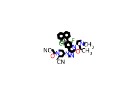 C[C@H](Oc1nc2c(F)c(-c3cccc4cccc(C#N)c34)c(Cl)cc2c2c1ncn2[C@H]1CCN(C(=O)CC#N)[C@H](CC#N)C1)[C@@H]1CCCN1C